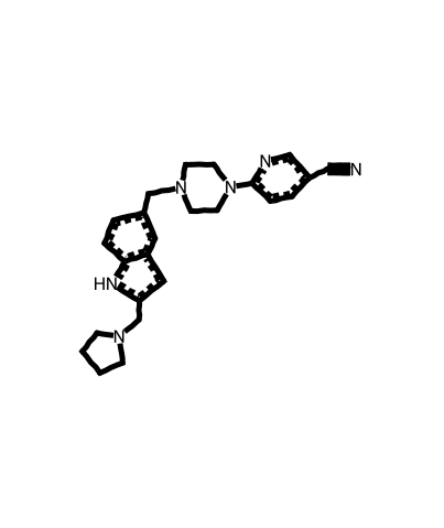 N#Cc1ccc(N2CCN(Cc3ccc4[nH]c(CN5CCCC5)cc4c3)CC2)nc1